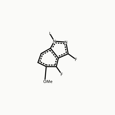 COc1ccc2c(c(F)nn2I)c1F